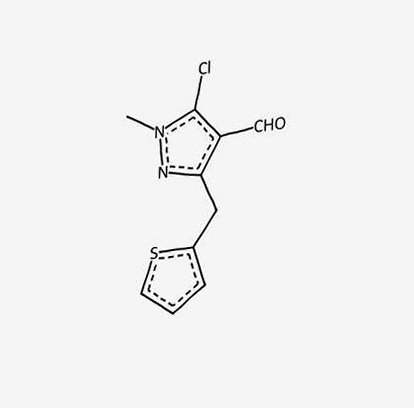 Cn1nc(Cc2cccs2)c(C=O)c1Cl